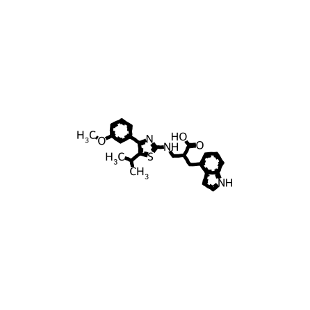 COc1cccc(-c2nc(NCC(Cc3cccc4[nH]ccc34)C(=O)O)sc2C(C)C)c1